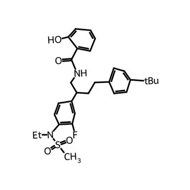 CCN(c1ccc(C(CCc2ccc(C(C)(C)C)cc2)CNC(=O)c2ccccc2O)cc1F)S(C)(=O)=O